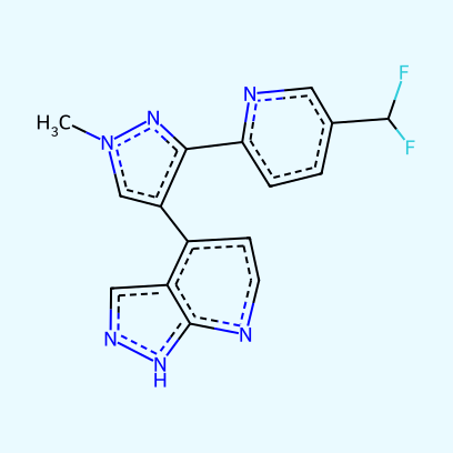 Cn1cc(-c2ccnc3[nH]ncc23)c(-c2ccc(C(F)F)cn2)n1